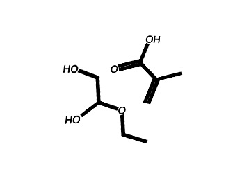 C=C(C)C(=O)O.CCOC(O)CO